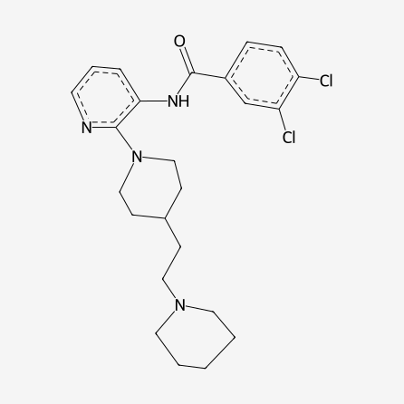 O=C(Nc1cccnc1N1CCC(CCN2CCCCC2)CC1)c1ccc(Cl)c(Cl)c1